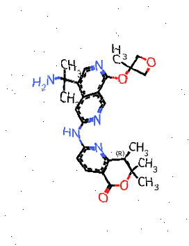 C[C@@H]1c2nc(Nc3cc4c(C(C)(C)N)cnc(OC5(C)COC5)c4cn3)ccc2C(=O)OC1(C)C